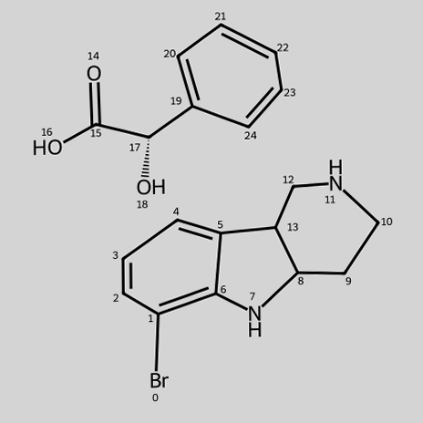 Brc1cccc2c1NC1CCNCC21.O=C(O)[C@@H](O)c1ccccc1